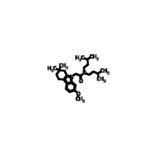 COc1ccc2c3c(n(CC(=O)N(CCC(C)C)CCC(C)C)c2c1)CC(C)(C)CC3